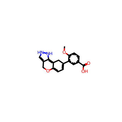 COc1ccc(C(=O)O)cc1C1=CC=C2OCC3=CNNC3=C2C1